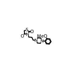 COc1ccccc1N1CCN(CCCN2C(=O)CSC2=O)CC1